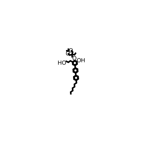 CCCCCCCc1ccc(-c2ccc(-c3cc(O)c(OCC4(CC)COC(C)(C)OC4)c(CCCO)c3)cc2)cc1